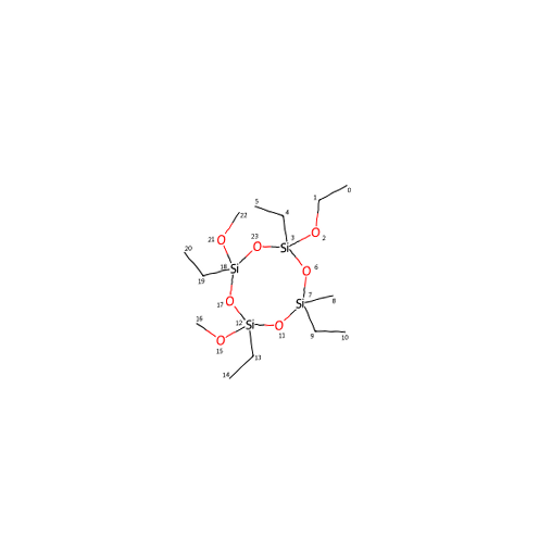 CCO[Si]1(CC)O[Si](C)(CC)O[Si](CC)(OC)O[Si](CC)(OC)O1